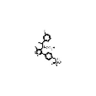 Cc1noc(-c2ccc(NS(C)(=O)=O)cc2)c1N(C(=O)O)C(C)c1cccc(F)c1